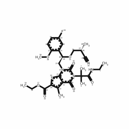 CCNC(=O)C(C)(C)n1c(=O)c2c(C)c(C(=O)OCC)sc2n(C[C@H](OC[C@H](C)C#N)c2cc(F)ccc2OC)c1=O